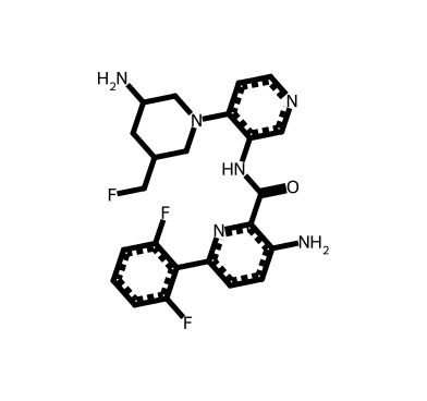 Nc1ccc(-c2c(F)cccc2F)nc1C(=O)Nc1cnccc1N1CC(N)CC(CF)C1